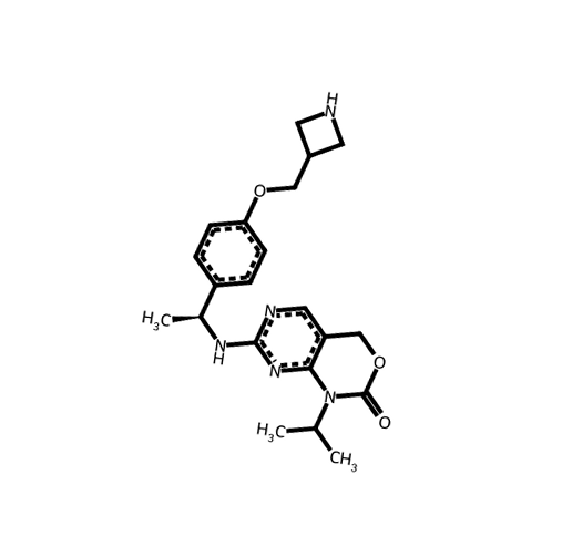 CC(C)N1C(=O)OCc2cnc(N[C@@H](C)c3ccc(OCC4CNC4)cc3)nc21